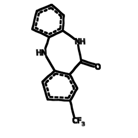 O=C1Nc2ccccc2Nc2ccc(C(F)(F)F)cc21